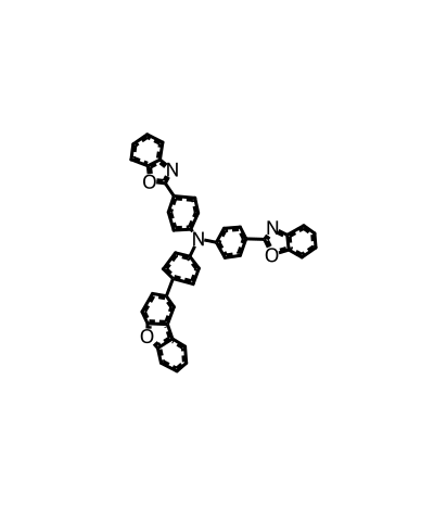 c1ccc2oc(-c3ccc(N(c4ccc(-c5ccc6oc7ccccc7c6c5)cc4)c4ccc(-c5nc6ccccc6o5)cc4)cc3)nc2c1